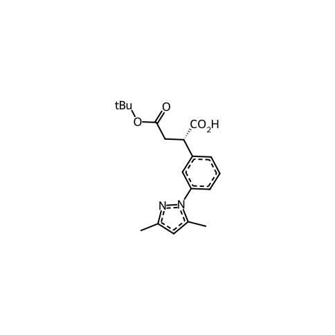 Cc1cc(C)n(-c2cccc([C@H](CC(=O)OC(C)(C)C)C(=O)O)c2)n1